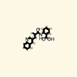 C/C(=C\c1cnc2ccccc2c1)C(=O)Nc1ccccc1C(=O)O